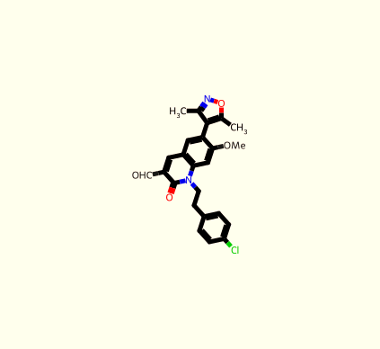 COc1cc2c(cc1-c1c(C)noc1C)cc(C=O)c(=O)n2CCc1ccc(Cl)cc1